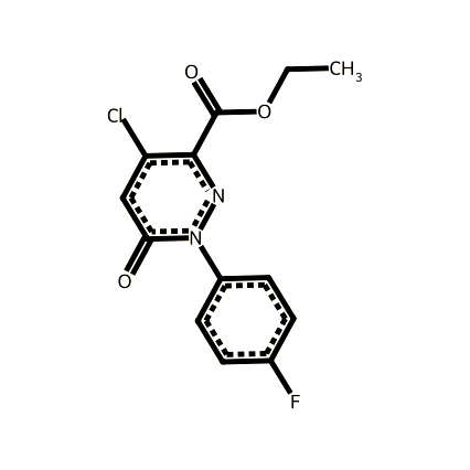 CCOC(=O)c1nn(-c2ccc(F)cc2)c(=O)cc1Cl